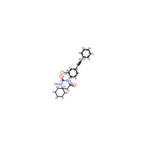 CN1C(=O)N(c2ccc(C#Cc3ccccc3)cc2Cl)C(=O)CC12CCCCC2